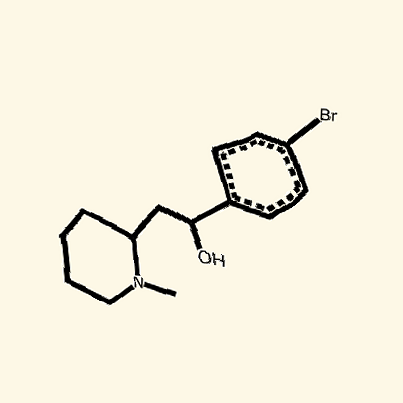 CN1CCCCC1CC(O)c1ccc(Br)cc1